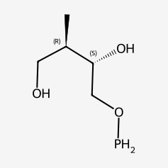 C[C@H](CO)[C@H](O)COP